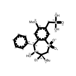 CCCC[C@]1(CC)CS(=O)(=O)c2cc(CP(=O)(O)O)c(OC)cc2[C@@H](c2ccccc2)N1O